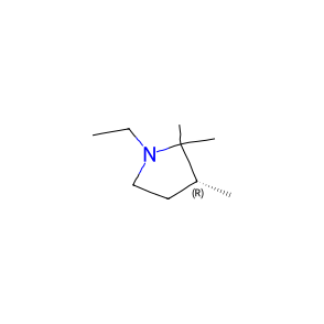 CCN1CC[C@@H](C)C1(C)C